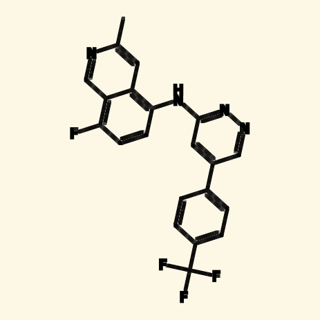 Cc1cc2c(Nc3cc(-c4ccc(C(F)(F)F)cc4)cnn3)ccc(F)c2cn1